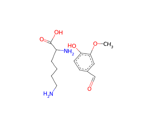 COc1cc(C=O)ccc1O.NCCCCC(N)C(=O)O